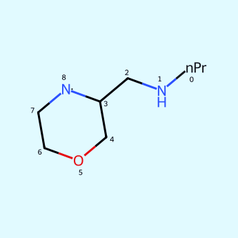 CCCNCC1COCC[N]1